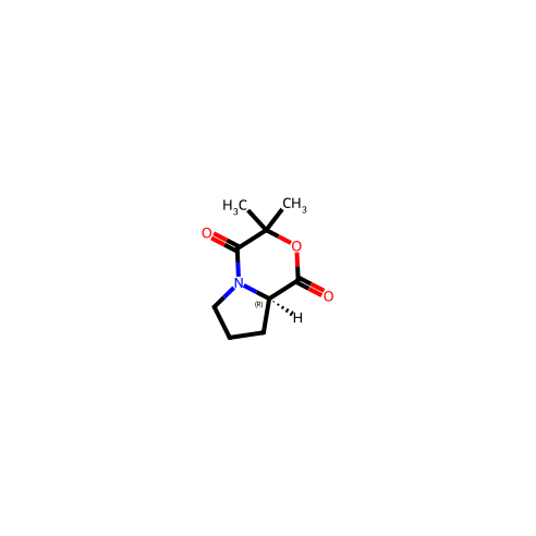 CC1(C)OC(=O)[C@H]2CCCN2C1=O